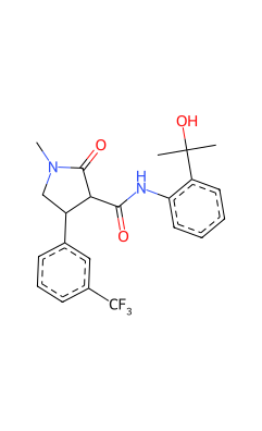 CN1CC(c2cccc(C(F)(F)F)c2)C(C(=O)Nc2ccccc2C(C)(C)O)C1=O